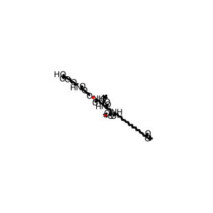 CC(C)(C)OC(=O)CCCCCCCCCCCCCCCCC(=O)NC(CCC(=O)NC(CCC(=O)NCCOCCOCC(=O)NCCOCCOCC(=O)O)C(=O)OC(C)(C)C)C(=O)OC(C)(C)C